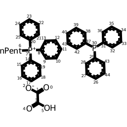 O=C([O-])C(=O)O.[CH2]CCCC[P+](c1ccccc1)(c1ccccc1)c1ccccc1.c1ccc(P(c2ccccc2)c2ccccc2)cc1